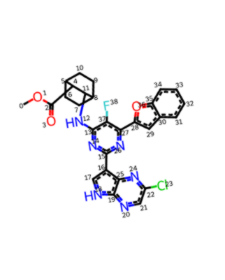 COC(=O)C1C2CCC(CC2)C1Nc1nc(-c2c[nH]c3ncc(Cl)nc23)nc(-c2cc3ccccc3o2)c1F